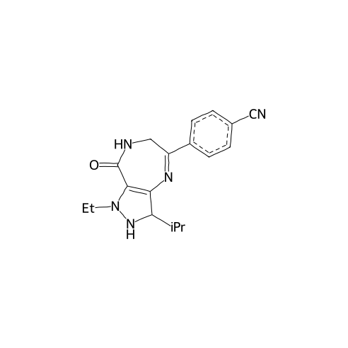 CCN1NC(C(C)C)C2=C1C(=O)NCC(c1ccc(C#N)cc1)=N2